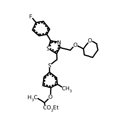 CCOC(=O)C(C)Oc1ccc(SCc2sc(-c3ccc(F)cc3)nc2COC2CCCCO2)cc1C